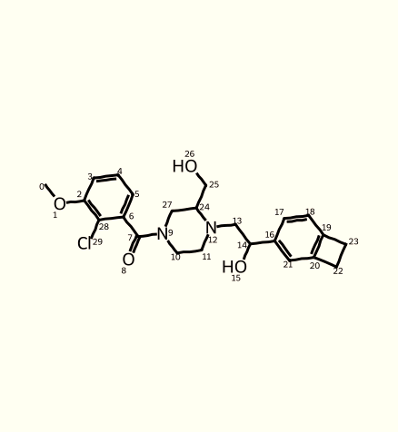 COc1cccc(C(=O)N2CCN(CC(O)c3ccc4c(c3)CC4)C(CO)C2)c1Cl